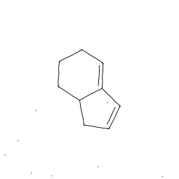 C1=CC2=CCCCC2C1